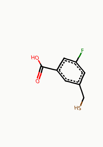 O=C(O)c1cc(F)cc(CS)c1